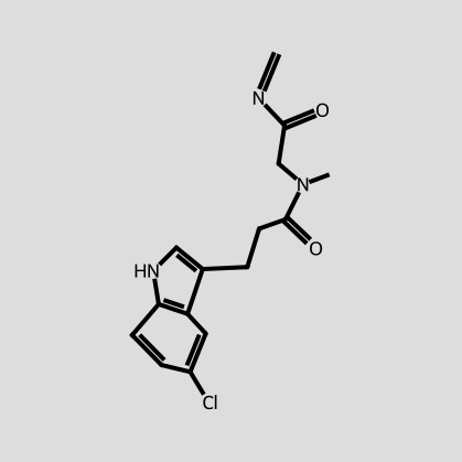 C=NC(=O)CN(C)C(=O)CCc1c[nH]c2ccc(Cl)cc12